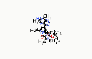 C#Cc1cc(-c2ncnc(C(C)=N)c2NC)cc(NC(=O)C(C)N(C)C(=O)OC(C)(C)C)n1